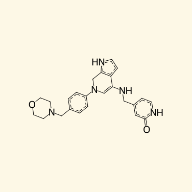 O=c1cc(CNC2=CN(c3ccc(CN4CCOCC4)cc3)Cc3[nH]ccc32)cc[nH]1